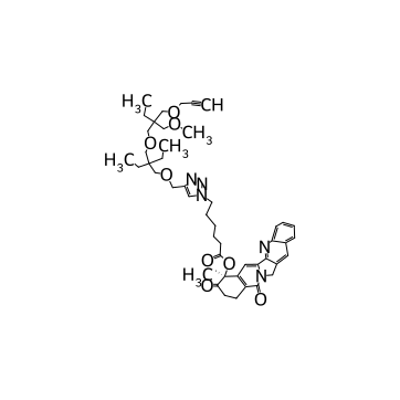 C#CCOCC(CC)(COC)COCC(CC)(CC)COCc1cn(CCCCCC(=O)O[C@]2(CC)C(=O)CCc3c2cc2n(c3=O)Cc3cc4ccccc4nc3-2)nn1